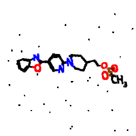 CS(=O)(=O)OCCC1CCN(c2ccc(-c3nc4ccccc4o3)cn2)CC1